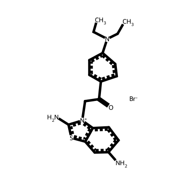 CCN(CC)c1ccc(C(=O)C[n+]2c(N)sc3cc(N)ccc32)cc1.[Br-]